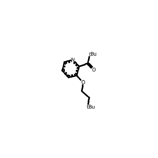 CC(C)(C)CCOc1cccnc1C(=O)C(C)(C)C